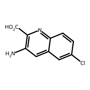 Nc1cc2cc(Cl)ccc2nc1C(=O)O